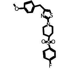 COc1ccc(Cc2csc(N3CCC(S(=O)(=O)c4ccc(F)cc4)CC3)n2)cc1